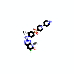 Cc1cc(S(=O)(=O)C2CCN(C3CCNCC3)CC2)ccc1Nc1ncc2cc(Cl)c(=O)n(C(C)C)c2n1